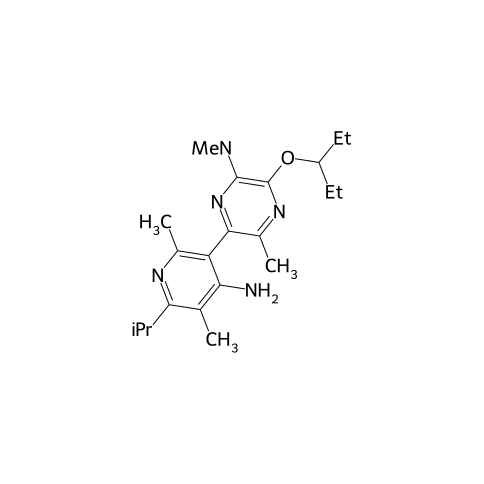 CCC(CC)Oc1nc(C)c(-c2c(C)nc(C(C)C)c(C)c2N)nc1NC